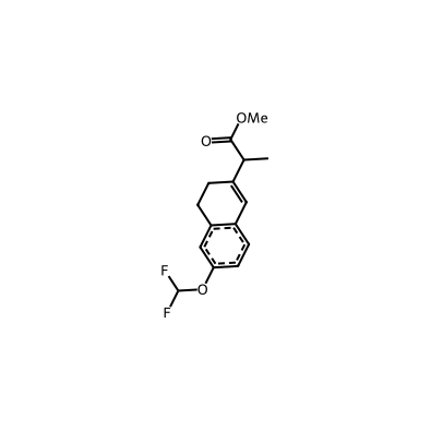 COC(=O)C(C)C1=Cc2ccc(OC(F)F)cc2CC1